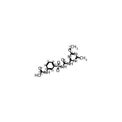 COc1nc(C)nc(NC(=O)NS(=O)(=O)c2cccc(NC(=O)O)c2)n1